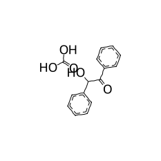 O=C(O)O.O=C(c1ccccc1)C(O)c1ccccc1